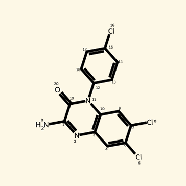 Nc1nc2cc(Cl)c(Cl)cc2n(-c2ccc(Cl)cc2)c1=O